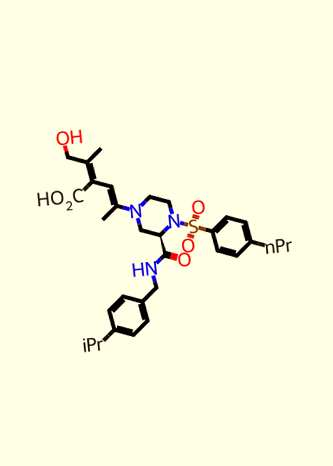 CCCc1ccc(S(=O)(=O)N2CCN(/C(C)=C/C(C(=O)O)=C(\C)CO)C[C@@H]2C(=O)NCc2ccc(C(C)C)cc2)cc1